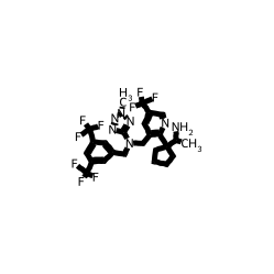 CC(N)C1(c2ncc(C(F)(F)F)cc2CN(Cc2cc(C(F)(F)F)cc(C(F)(F)F)c2)c2nnn(C)n2)CCCC1